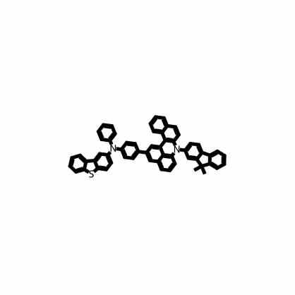 CC1(C)c2ccccc2-c2ccc(N3c4ccc5ccccc5c4-c4cc(-c5ccc(N(c6ccccc6)c6ccc7sc8ccccc8c7c6)cc5)cc5cccc3c45)cc21